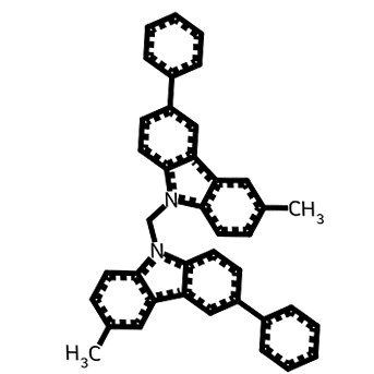 Cc1ccc2c(c1)c1cc(-c3ccccc3)ccc1n2Cn1c2ccc(C)cc2c2cc(-c3ccccc3)ccc21